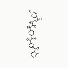 Cc1ccccc1C(=O)N1CCC(C(=O)Nc2ccc(NC(=O)Nc3c[nH]c4ccc(F)cc34)cc2)C1